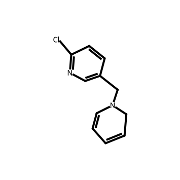 Clc1ccc(CN2C=CC=CC2)cn1